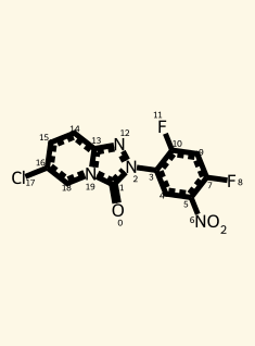 O=c1n(-c2cc([N+](=O)[O-])c(F)cc2F)nc2ccc(Cl)cn12